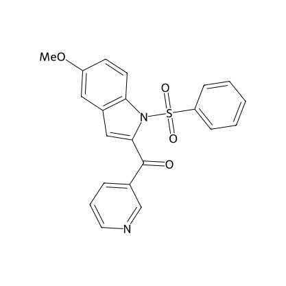 COc1ccc2c(c1)cc(C(=O)c1cccnc1)n2S(=O)(=O)c1ccccc1